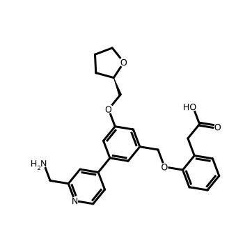 NCc1cc(-c2cc(COc3ccccc3CC(=O)O)cc(OC[C@H]3CCCO3)c2)ccn1